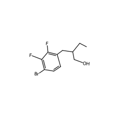 CCC(CO)Cc1ccc(Br)c(F)c1F